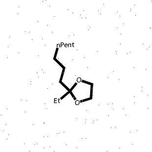 CCCCCCCCC1(CC)OCCO1